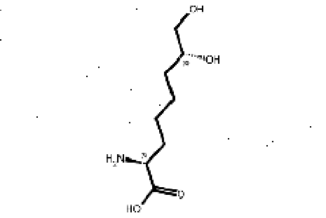 N[C@@H](CCCC[C@@H](O)CO)C(=O)O